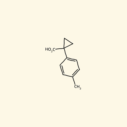 Cc1ccc(C2(C(=O)O)CC2)cc1